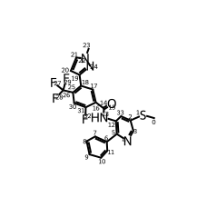 CSc1cnc(-c2ccccc2)c(NC(=O)c2cc(-c3ccn(C)n3)c(C(F)(F)F)cc2F)c1